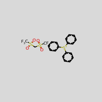 O=S(=O)(CS(=O)(=O)C(F)(F)F)C(F)(F)F.c1ccc([S+](c2ccccc2)c2ccccc2)cc1